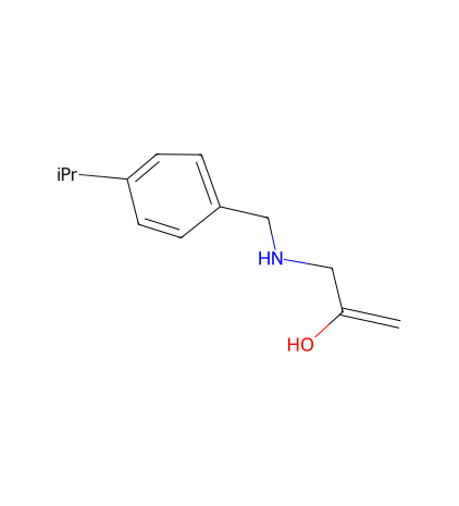 C=C(O)CNCc1ccc(C(C)C)cc1